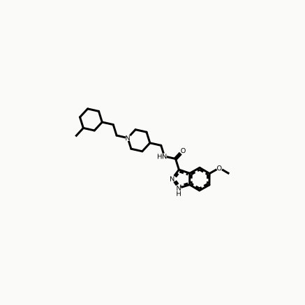 COc1ccc2[nH]nc(C(=O)NCC3CCN(CCC4CCCC(C)C4)CC3)c2c1